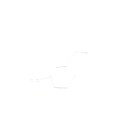 COC1CCCN(N)C1